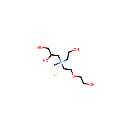 CC[N+](CCO)(CCOCCO)CC(O)CO.[Cl-]